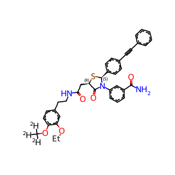 [2H]C([2H])([2H])Oc1ccc(CCNC(=O)C[C@H]2S[C@@H](c3ccc(C#Cc4ccccc4)cc3)N(c3cccc(C(N)=O)c3)C2=O)cc1OCC